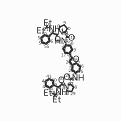 CCC(CC)N[C@@H](C(=O)N1CCC[C@H]1C(=O)Nc1ccc(-c2cc3cc(NC(=O)[C@@H]4CCCN4C(=O)[C@H](NC(CC)CC)c4ccccc4)ccc3o2)cc1)c1ccccc1